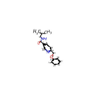 CC(C)CNC(=O)c1ccc(COc2ccccc2)nc1